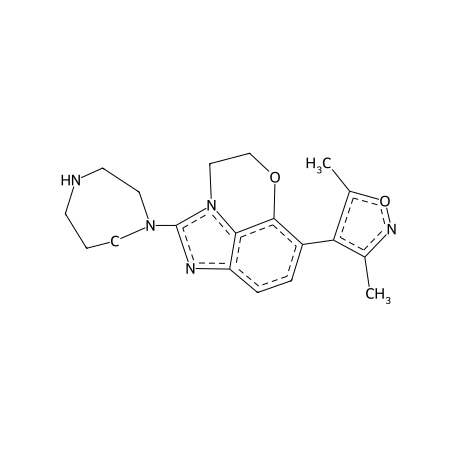 Cc1noc(C)c1-c1ccc2nc(N3CCCNCC3)n3c2c1OCC3